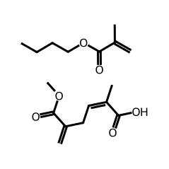 C=C(C)C(=O)OCCCC.C=C(CC=C(C)C(=O)O)C(=O)OC